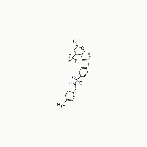 Cc1ccc(CNS(=O)(=O)c2ccc(Cc3ccc4oc(=O)cc(C(F)(F)F)c4c3)cc2)cc1